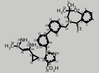 CCC1c2ccccc2OC(C)(C)CN1Cc1cccc(-c2cccc(-n3ncc(C(=O)O)c3[C@@H]3CC3/C(N)=C/N(C)N)c2)c1